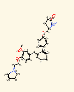 COc1cc(Cc2ccccc2-c2ccc(OCC3CCC(=O)N3)cc2)ccc1OCCN1CCCC1